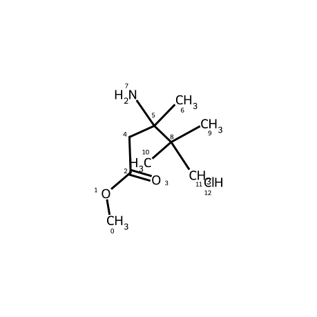 COC(=O)CC(C)(N)C(C)(C)C.Cl